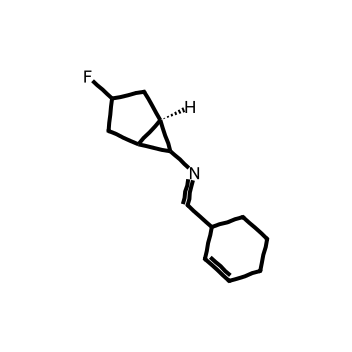 FC1CC2C(/N=C/C3C=CCCC3)[C@@H]2C1